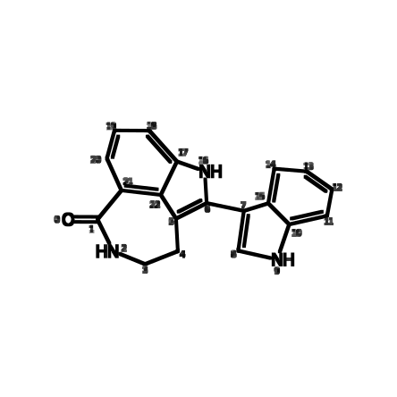 O=C1NCCc2c(-c3c[nH]c4ccccc34)[nH]c3cccc1c23